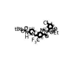 CCS(=O)(=O)c1ccc(Cl)cc1Cn1cnc2cc(CN3CCC[C@H](NC(=O)OC(C)(C)C)C3)c(C(F)(F)F)cc2c1=O